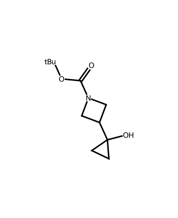 CC(C)(C)OC(=O)N1CC(C2(O)CC2)C1